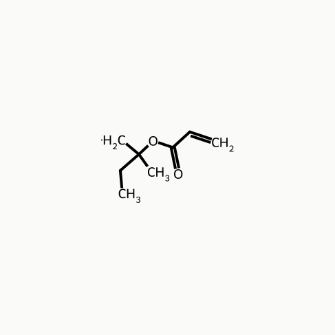 [CH2]C(C)(CC)OC(=O)C=C